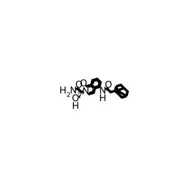 NC(=O)[C@@H](CO)n1ccc2c(NC(=O)CC3C4CC5CC(C4)CC3C5)cccc2c1=O